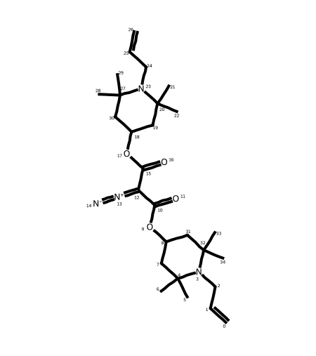 C=CCN1C(C)(C)CC(OC(=O)C(=[N+]=[N-])C(=O)OC2CC(C)(C)N(CC=C)C(C)(C)C2)CC1(C)C